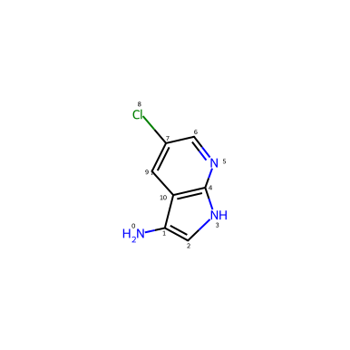 Nc1c[nH]c2ncc(Cl)[c]c12